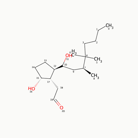 CCCCC(C)(C)[C@@H](C)CC(O)[C@@H]1CC[C@@H](O)[C@H]1CC=O